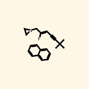 CC(C)(C)C#CC=C(F)CN1CC1.c1ccc2ccccc2c1